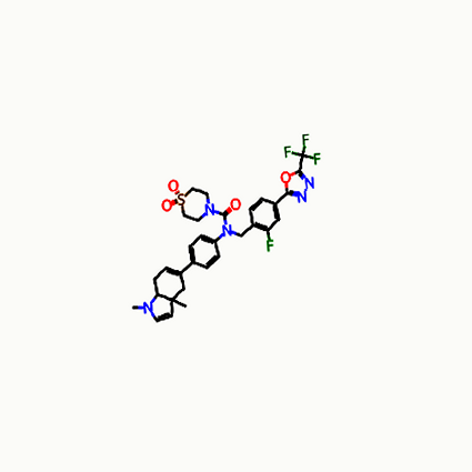 CN1C=CC2(C)CC(c3ccc(N(Cc4ccc(-c5nnc(C(F)(F)F)o5)cc4F)C(=O)N4CCS(=O)(=O)CC4)cc3)=CCC12